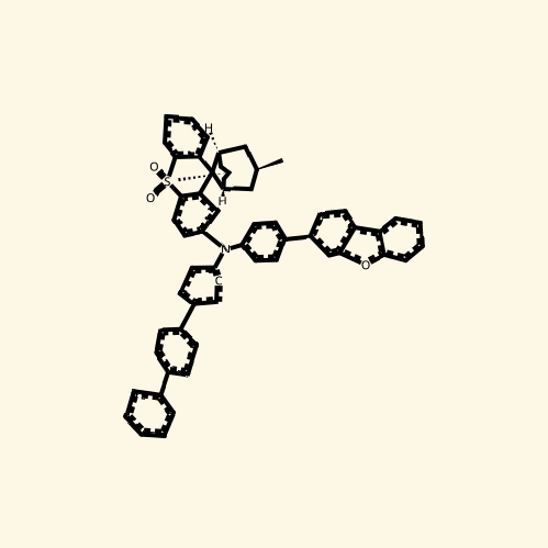 C[C@H]1C[C@@H]2C[C@@H](C)C[C@H](C1)C21c2ccccc2S(=O)(=O)c2ccc(N(c3ccc(-c4ccc(-c5ccccc5)cc4)cc3)c3ccc(-c4ccc5c(c4)oc4ccccc45)cc3)cc21